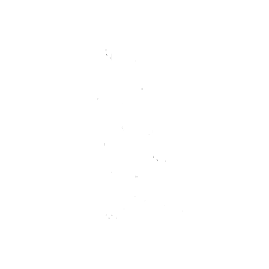 CO[C@@H](C)c1ccc(C2=CCN=CC2)cn1